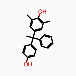 Cc1cc(C(C)(c2ccccc2)c2ccc(O)cc2)cc(C)c1O